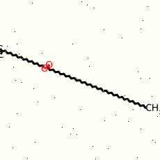 CCCCCCCCCCCCCCCCCCCCCCCCCCCCCCCCCCCCCCC(=O)OCCCCCCCCCCCCCCCC(C)C